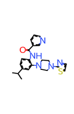 CC(C)c1ccc(NC(=O)c2cccnc2)c(N2CCN(c3nccs3)CC2)c1